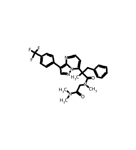 CN(C)C(=O)CN(C)C(=O)C(C)(Cc1ccccc1)c1ccnc2c(-c3ccc(C(F)(F)F)cc3)cnn12